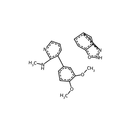 CNc1ncccc1-c1ccc(OC)c(OC)c1.c1cc2cc3c1o[nH]n2-3